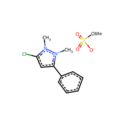 COS(=O)(=O)[O-].Cn1c(Cl)cc(-c2ccccc2)[n+]1C